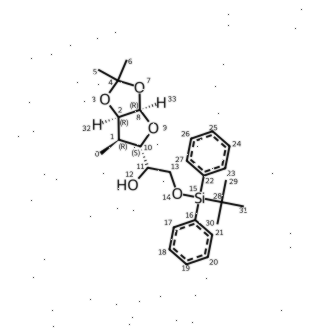 C[C@H]1[C@H]2OC(C)(C)O[C@H]2O[C@@H]1C(O)CO[Si](c1ccccc1)(c1ccccc1)C(C)(C)C